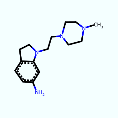 CN1CCN(CCN2CCc3ccc(N)cc32)CC1